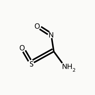 NC(N=O)=S=O